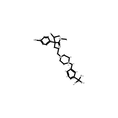 COC(=O)C(CCCN1CCN(Cc2cccc(C(F)(F)F)c2)CC1)(c1ccc(F)cc1)C(C)C